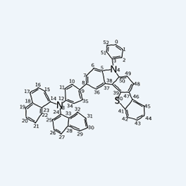 c1ccc(-n2c3ccc(-c4ccc(N(c5cccc6ccccc56)c5cccc6ccccc56)cc4)cc3c3c4sc5ccccc5c4ccc32)cc1